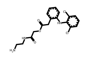 NCCNC(=O)COC(=O)Cc1ccccc1Nc1c(Cl)cccc1Cl